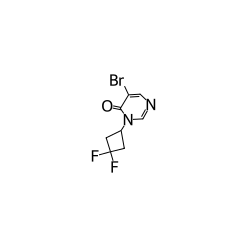 O=c1c(Br)cncn1C1CC(F)(F)C1